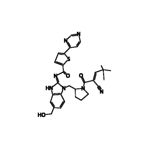 CC(C)(C)C=C(C#N)C(=O)N1CCCC1Cn1c(=NC(=O)c2ccc(-c3ccncn3)s2)[nH]c2cc(CO)ccc21